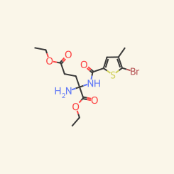 CCOC(=O)CCC(N)(NC(=O)c1cc(C)c(Br)s1)C(=O)OCC